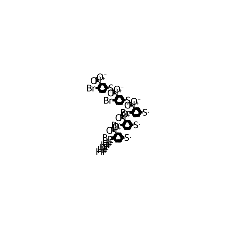 F.F.F.F.F.O=[N+]([O-])c1cc([S])ccc1Br.O=[N+]([O-])c1cc([S])ccc1Br.O=[N+]([O-])c1cc([S])ccc1Br.O=[N+]([O-])c1cc([S])ccc1Br.O=[N+]([O-])c1cc([S])ccc1Br